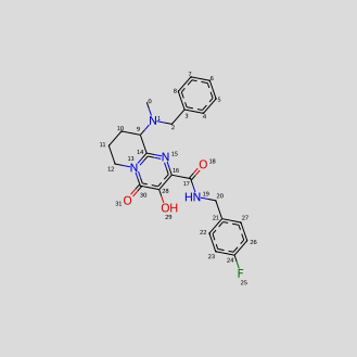 CN(Cc1ccccc1)C1CCCn2c1nc(C(=O)NCc1ccc(F)cc1)c(O)c2=O